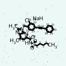 CCCCCS(=O)(=O)NC(=O)c1cc(C)c2nc(C)n(Cc3ccc(C#Cc4ccccc4)cc3Cl)c2n1.[NaH]